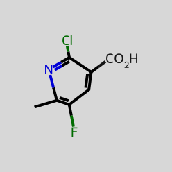 Cc1nc(Cl)c(C(=O)O)cc1F